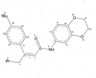 CC(C)C/C(=C/C(=O)Nc1ccc2c(c1)OCCO2)c1ccc(C(C)(C)C)cc1